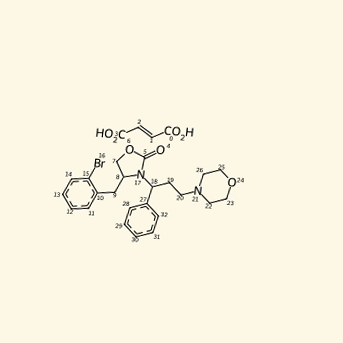 O=C(O)C=CC(=O)O.O=C1OCC(Cc2ccccc2Br)N1C(CCN1CCOCC1)c1ccccc1